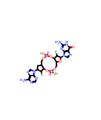 Nc1nc2c(ncn2C2OC3COP(=O)(S)OC4C(COP(=O)(S)OC3C2F)CC(n2cnc3c(N)ncnc32)C4F)c(=O)[nH]1